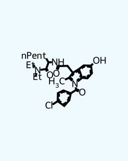 CCCCCC(NC(=O)Cc1c(C)n(C(=O)c2ccc(Cl)cc2)c2ccc(O)cc12)C(=O)N(CC)CC